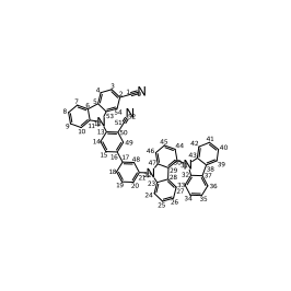 N#Cc1ccc2c3ccccc3n(-c3ccc(-c4cccc(-n5c6ccccc6c6c(-n7c8ccccc8c8ccccc87)cccc65)c4)cc3C#N)c2c1